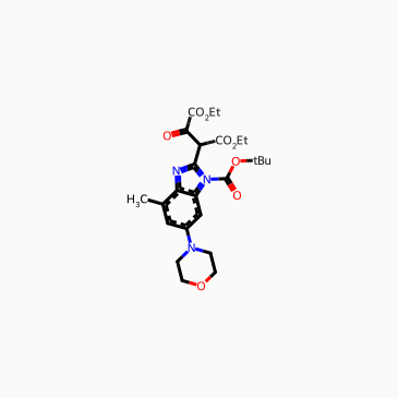 CCOC(=O)C(=O)C(C(=O)OCC)c1nc2c(C)cc(N3CCOCC3)cc2n1C(=O)OC(C)(C)C